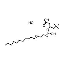 CCCCCCCCCCCOCCO[P@](O)OC(CC(=O)O)C[N+](C)(C)C.[OH-]